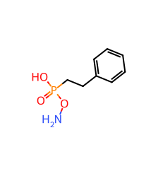 NOP(=O)(O)CCc1ccccc1